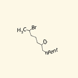 CCCCCCC([O])CCCC(C)Br